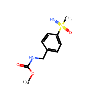 CC(C)(C)OC(=O)NCc1ccc(S(C)(=N)=O)cc1